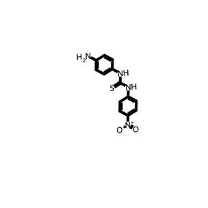 Nc1ccc(NC(=S)Nc2ccc([N+](=O)[O-])cc2)cc1